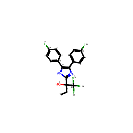 CCC(O)(c1nc(-c2ccc(F)cc2)c(-c2ccc(F)cc2)[nH]1)C(F)(F)F